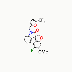 COc1cc2c(cc1F)C1(CO2)C(=O)N(Cc2ccc(C(F)(F)F)o2)c2ccccc21